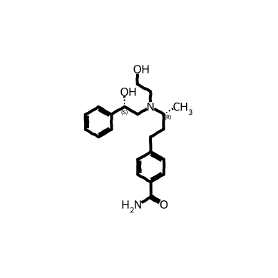 C[C@H](CCc1ccc(C(N)=O)cc1)N(CCO)C[C@@H](O)c1ccccc1